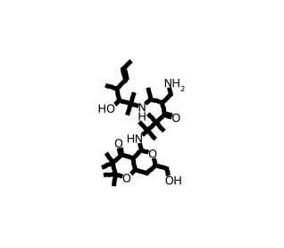 CC=CC(C)C(O)C(C)(C)NC(C)C(CN)C(=O)C(C)(C)C(C)(C)NC1OC(CO)CC2OC(C)(C)C(C)(C)C(=O)C21